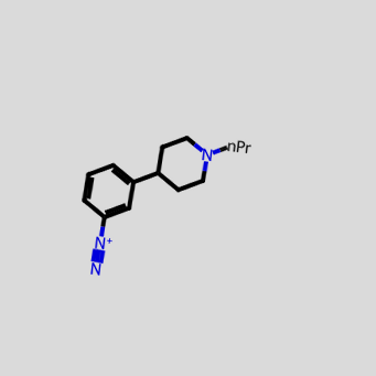 CCCN1CCC(c2cccc([N+]#N)c2)CC1